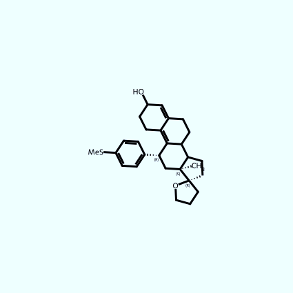 CSc1ccc([C@H]2C[C@@]3(C)C(CC[C@@]34CCCO4)C3CCC4=CC(O)CCC4=C32)cc1